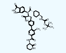 Cc1cc(C(=O)N[C@@H]2CCCNC2=O)ncc1-c1ccc(C[C@@H](C(N)=O)N(c2ccc3c(=O)[nH][nH]c3c2)C(=O)[C@H]2CC[C@H](CNC(=O)OC(C)(C)C)CC2)cc1